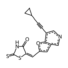 O=C1NC(=S)SC1=Cc1cc2cncc(C#CC3CC3)c2o1